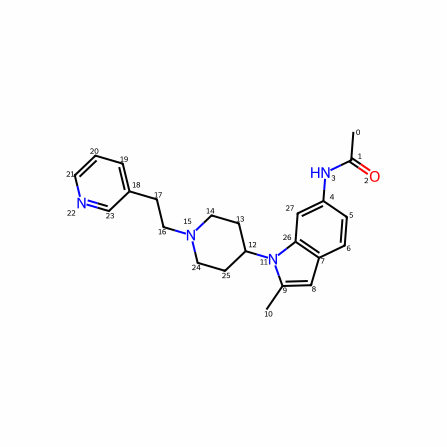 CC(=O)Nc1ccc2cc(C)n(C3CCN(CCc4cccnc4)CC3)c2c1